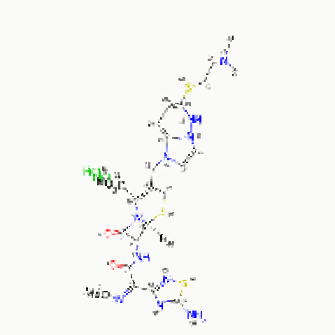 CO/N=C(\C(=O)N[C@@H]1C(=O)N2C(C(=O)O)=C(CN3C=CN4NC(SCCN(C)C)=CC=C34)CS[C@@H]12)c1nsc(N)n1.Cl.Cl